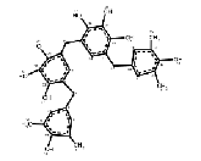 Cc1cc(Cc2cc(Cc3cc(Cc4cc(C)c(O)c(C)c4)c(O)c(O)c3O)c(O)c(O)c2O)cc(C)c1O